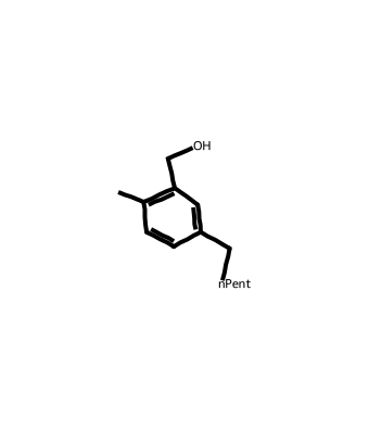 CCCCCCc1ccc(C)c(CO)c1